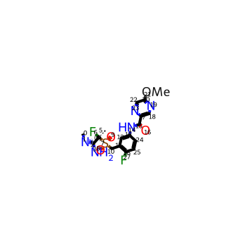 C/N=C(/N)[C@@](C)(F)S(=O)(=O)Cc1cc(NC(=O)c2cnc(OC)cn2)ccc1F